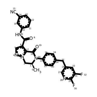 C[C@H]1Cn2ncc(C(=O)Nc3cccc(C#N)c3)c2C(=O)N1c1ccc(Cc2cnc(F)c(F)c2)cc1